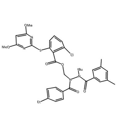 CCc1ccc(C(=O)N(COC(=O)c2c(Cl)cccc2Sc2nc(OC)cc(OC)n2)N(C(=O)c2cc(C)cc(C)c2)C(C)(C)C)cc1